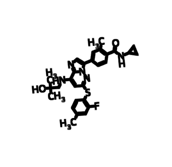 Cc1ccc(Sc2cc(NCC(C)(C)O)c3ncc(-c4ccc(C(=O)NC5CC5)c(C)c4)n3n2)c(F)c1